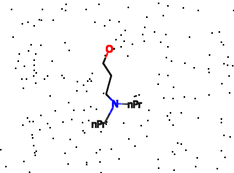 CCCN(CCC)CCC[O]